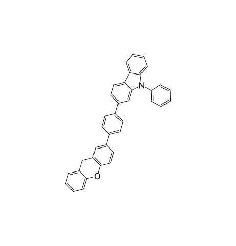 c1ccc(-n2c3ccccc3c3ccc(-c4ccc(-c5ccc6c(c5)Cc5ccccc5O6)cc4)cc32)cc1